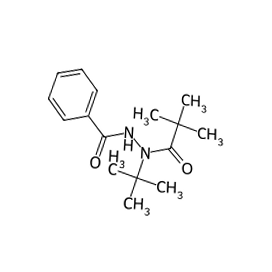 CC(C)(C)C(=O)N(NC(=O)c1ccccc1)C(C)(C)C